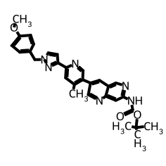 COc1ccc(Cn2ccc(-c3cc(C)c(-c4cnc5cc(NC(=O)OC(C)(C)C)ncc5c4)cn3)n2)cc1